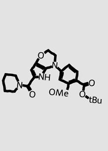 COc1cc(N2CCOc3cc(C(=O)N4CCCCC4)[nH]c32)ccc1C(=O)OC(C)(C)C